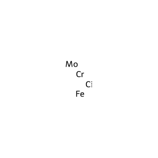 [C].[Cr].[Fe].[Mo]